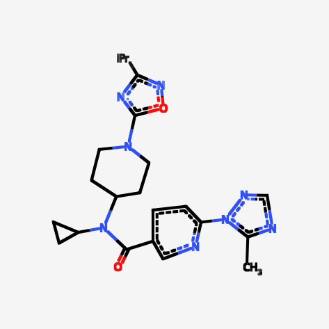 Cc1ncnn1-c1ccc(C(=O)N(C2CC2)C2CCN(c3nc(C(C)C)no3)CC2)cn1